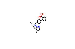 CCCc1cc2c(C)ccnc2n1Cc1ccc(-c2ccccc2C(=O)O)cc1